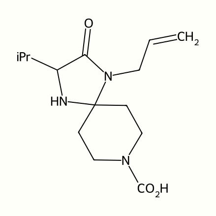 C=CCN1C(=O)C(C(C)C)NC12CCN(C(=O)O)CC2